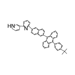 CC(C)(C)c1ccc(-c2c3ccccc3c(-c3ccc4cc(-c5cccc(C6=CNCC=C6)n5)ccc4c3)c3ccccc23)cc1